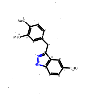 COc1ccc(Cc2n[nH]c3ccc(C=O)cc23)cc1OC